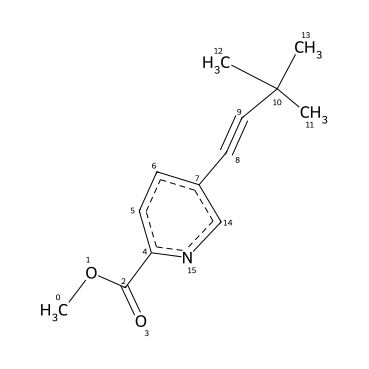 COC(=O)c1ccc(C#CC(C)(C)C)cn1